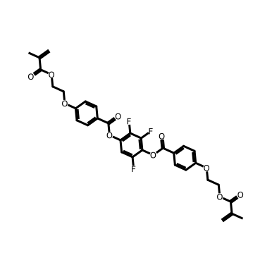 C=C(C)C(=O)OCCOc1ccc(C(=O)Oc2cc(F)c(OC(=O)c3ccc(OCCOC(=O)C(=C)C)cc3)c(F)c2F)cc1